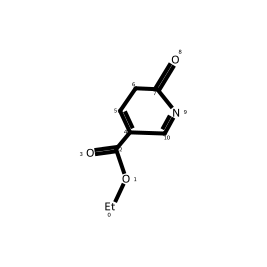 CCOC(=O)C1=CCC(=O)N=C1